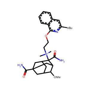 CCCCc1cc2ccccc2c(OCC[N+](C)(C)C2(C(N)=O)C3CC4CC(C(N)=O)(C3)CC2C4OC)n1